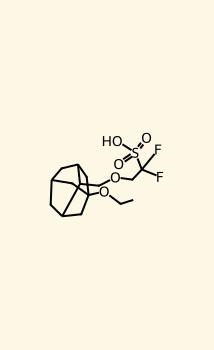 CCOC12CC3CC(C1)C(COCC(F)(F)S(=O)(=O)O)C(C3)C2